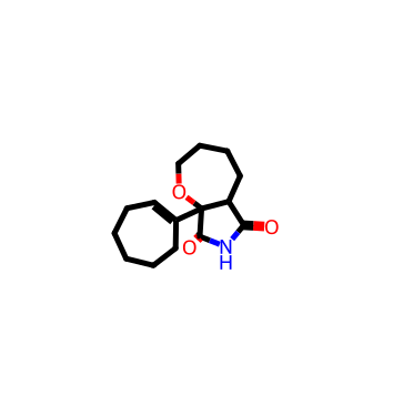 O=C1NC(=O)C2(C3=CCCCCC3)OCCCCC12